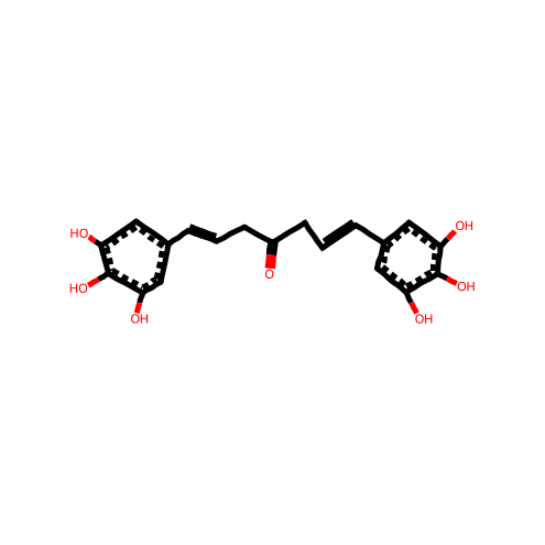 O=C(CC=Cc1cc(O)c(O)c(O)c1)CC=Cc1cc(O)c(O)c(O)c1